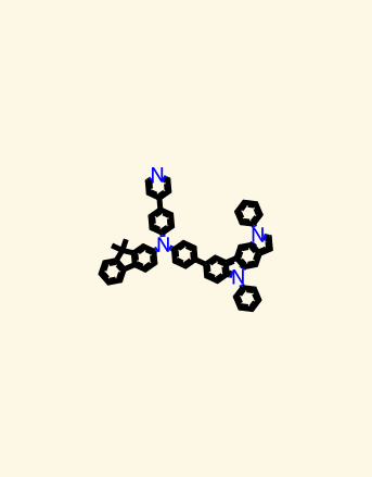 CC1(C)c2ccccc2-c2ccc(N(c3ccc(-c4ccncc4)cc3)c3ccc(-c4ccc5c(c4)c4cc6c(ccn6-c6ccccc6)cc4n5-c4ccccc4)cc3)cc21